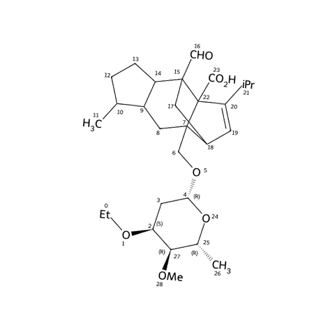 CCO[C@H]1C[C@H](OCC23CC4C(C)CCC4C4(C=O)CC2C=C(C(C)C)C43C(=O)O)O[C@H](C)[C@H]1OC